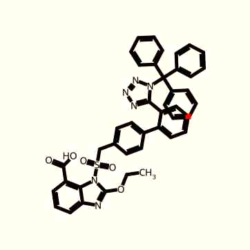 CCOc1nc2cccc(C(=O)O)c2n1S(=O)(=O)Cc1ccc(-c2ccccc2-c2nnnn2C(c2ccccc2)(c2ccccc2)c2ccccc2)cc1